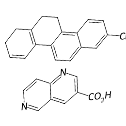 Clc1ccc2c3c(ccc2c1)C1=C(CCC=C1)CC3.O=C(O)c1cnc2ccncc2c1